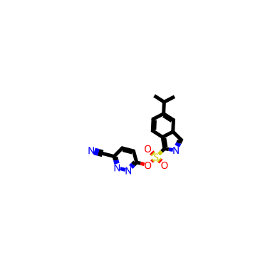 CC(C)C1=CC2C=NC(S(=O)(=O)Oc3ccc(C#N)nn3)=C2C=C1